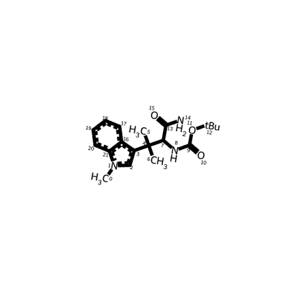 Cn1cc(C(C)(C)C(NC(=O)OC(C)(C)C)C(N)=O)c2ccccc21